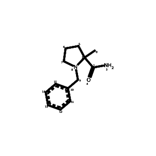 CC1(C(N)=O)CCCN1Cc1ccccc1